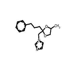 CC1COC(CCCc2ccccc2)(Cn2ccnc2)O1